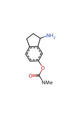 CNC(=O)Oc1ccc2c(c1)C(N)CC2